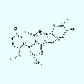 COc1cnc(Cl)cc1-c1cc(C)nc(-c2nc3cc(F)c(Br)nc3s2)c1C(N)=O